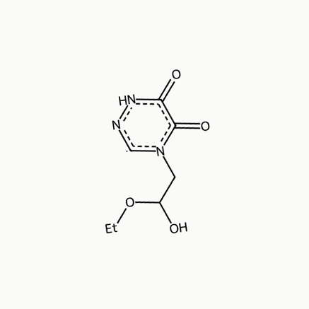 CCOC(O)Cn1[c]n[nH]c(=O)c1=O